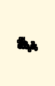 COc1cc(C(=O)N(CCCc2ccccc2)Cc2ccc(C(F)(F)C(=O)O)cc2)cc(OC)c1C